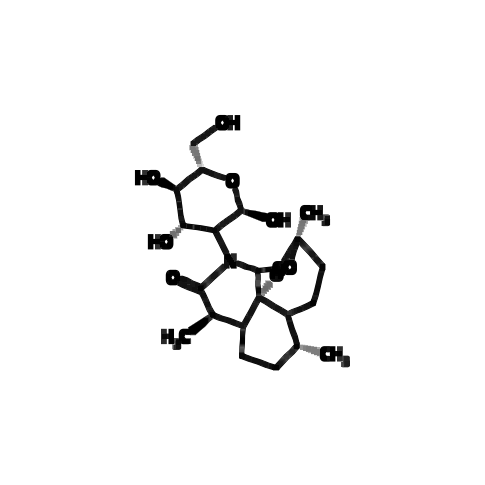 C[C@@H]1CCC2[C@@H](C)C(=O)N(C3[C@H](O)O[C@@H](CO)[C@H](O)[C@H]3O)C3O[C@]4(C)CCC1[C@@]23OO4